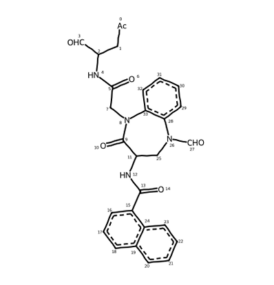 CC(=O)CC(C=O)NC(=O)CN1C(=O)C(NC(=O)c2cccc3ccccc23)CN(C=O)c2ccccc21